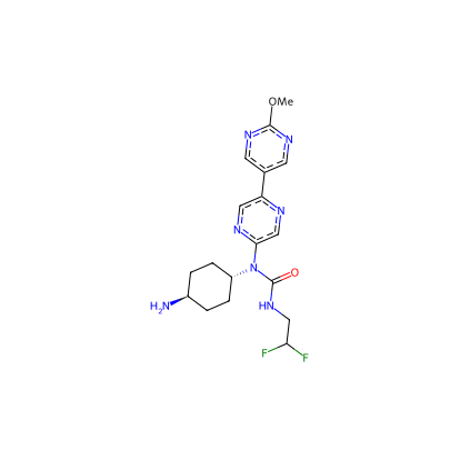 COc1ncc(-c2cnc(N(C(=O)NCC(F)F)[C@H]3CC[C@H](N)CC3)cn2)cn1